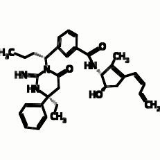 C=C/C=C\C1=C(C)[C@@H](NC(=O)c2cccc([C@@H](CCC)N3C(=N)N[C@](CC)(c4ccccc4)CC3=O)c2)[C@H](O)C1